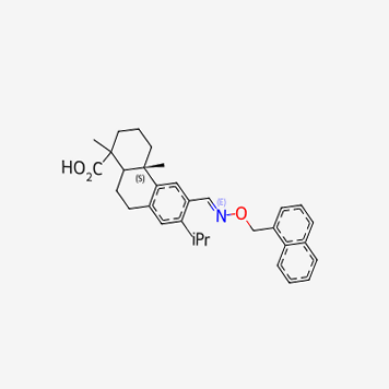 CC(C)c1cc2c(cc1/C=N/OCc1cccc3ccccc13)[C@@]1(C)CCCC(C)(C(=O)O)C1CC2